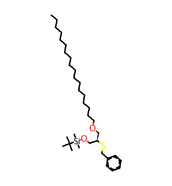 CCCCCCCCCCCCCCCCCCOC[C@H](CO[Si](C)(C)C(C)(C)C)SCc1ccccc1